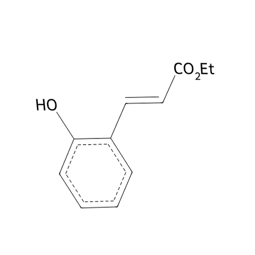 CCOC(=O)C=Cc1ccccc1O